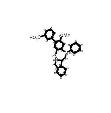 COc1cc2c(cc1-c1cccc(C(=O)O)c1)SN1Cc3ccccc3C1CN2c1ccccc1